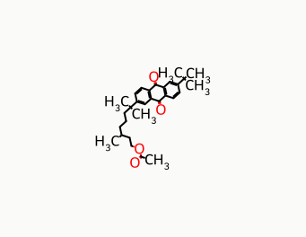 CC(=O)OCCC(C)CCCC(C)(C)c1ccc2c(c1)C(=O)c1ccc(C(C)(C)C)cc1C2=O